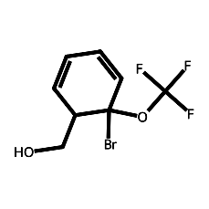 OCC1C=CC=CC1(Br)OC(F)(F)F